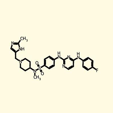 Cc1ncc(CN2CCC(N(C)S(=O)(=O)c3ccc(Nc4nccc(Nc5ccc(F)cc5)n4)cc3)CC2)[nH]1